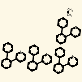 C=C.c1ccc(-c2ccccc2-c2cccnc2)cc1.c1ccc(-c2ccccc2-c2cccnc2)cc1.c1ccc(-c2ccccc2-c2cccnc2)cc1.c1ccc(-c2ccccc2-c2cccnc2)cc1